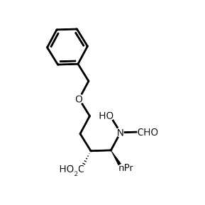 CCC[C@@H]([C@@H](CCOCc1ccccc1)C(=O)O)N(O)C=O